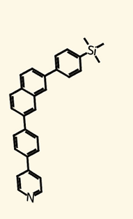 C[Si](C)(C)c1ccc(-c2ccc3ccc(-c4ccc(-c5ccncc5)cc4)cc3c2)cc1